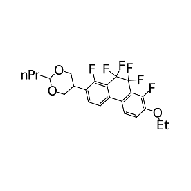 CCCC1OCC(c2ccc3c(c2F)C(F)(F)C(F)(F)c2c-3ccc(OCC)c2F)CO1